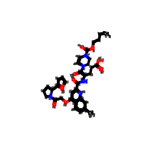 CCCCOC(=O)N1CCN(C(=O)C(CCC(=O)O)NC(=O)c2cc(OCC(=O)N3CCCC3c3ccco3)c3ccc(C)cc3n2)CC1